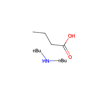 CCCC(=O)O.CCCCNCCCC